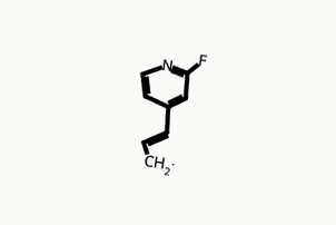 [CH2]C=Cc1ccnc(F)c1